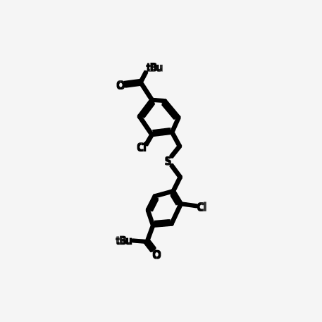 CC(C)(C)C(=O)c1ccc(CSCc2ccc(C(=O)C(C)(C)C)cc2Cl)c(Cl)c1